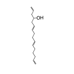 C=CCCCC=CCCC=CCC(O)CC=C